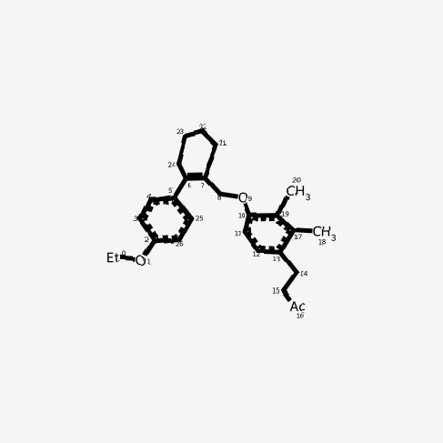 CCOc1ccc(C2=C(COc3ccc(CCC(C)=O)c(C)c3C)CCCC2)cc1